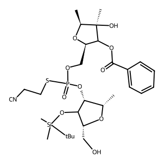 [C-]#[N+]CCSP(=O)(OC[C@H]1O[C@@H](C)[C@@](C)(O)C1OC(=O)c1ccccc1)O[C@H]1C(O[Si](C)(C)C(C)(C)C)[C@@H](CO)O[C@H]1C